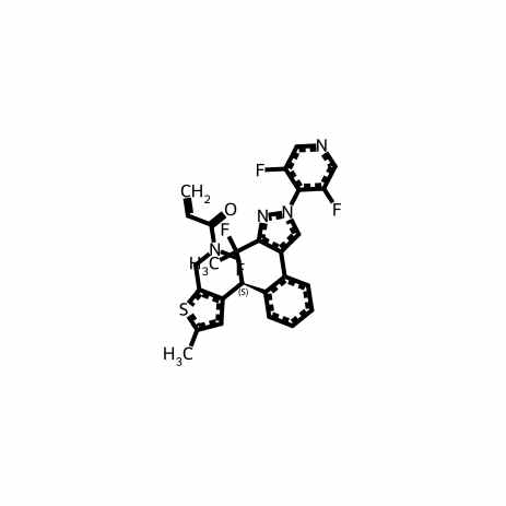 C=CC(=O)N1Cc2sc(C)cc2[C@H](c2ccccc2-c2cn(-c3c(F)cncc3F)nc2C(C)(F)F)C1